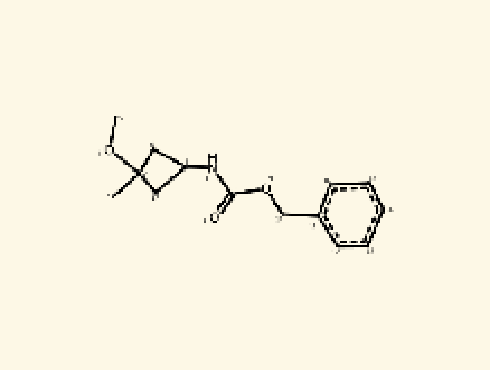 COC1(C)CC(NC(=O)OCc2ccccc2)C1